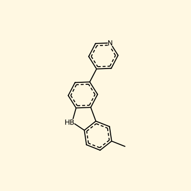 Cc1ccc2c(c1)-c1cc(-c3ccncc3)ccc1B2